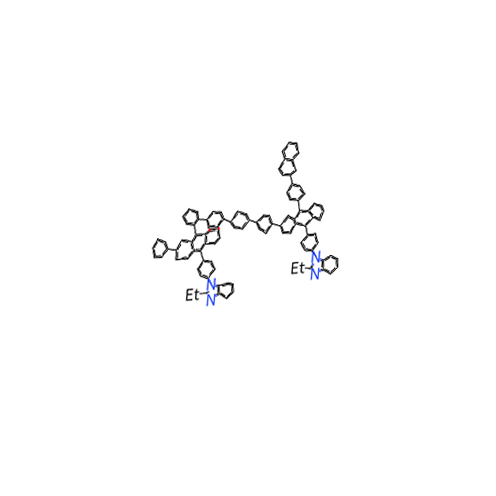 CCc1nc2ccccc2n1-c1ccc(-c2c3ccccc3c(-c3ccc(-c4ccc5ccccc5c4)cc3)c3cc(-c4ccc(-c5ccc(-c6ccc(-c7ccccc7-c7c8ccccc8c(-c8ccc(-n9c(CC)nc%10ccccc%109)cc8)c8ccc(-c9ccccc9)cc78)cc6)cc5)cc4)ccc23)cc1